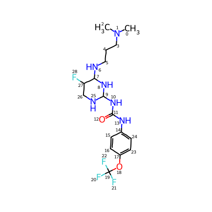 CN(C)CCCNC1NC(NC(=O)Nc2ccc(OC(F)(F)F)cc2)NCC1F